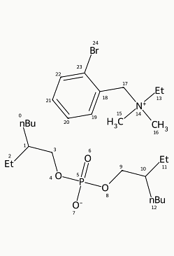 CCCCC(CC)COP(=O)([O-])OCC(CC)CCCC.CC[N+](C)(C)Cc1ccccc1Br